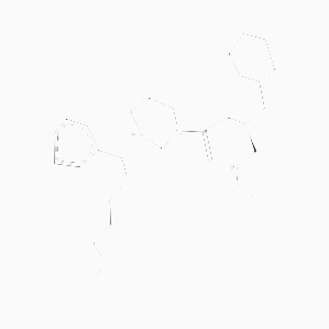 CNC[C@H](CC1CCCCC1)NC(=O)N1CCC[C@@H](C(OCCCOC)c2ccccc2)C1